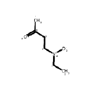 CC[S+]([O-])CCC(C)=O